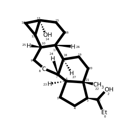 CCC(O)[C@H]1CC[C@H]2[C@@H]3CC[C@@H]4C5C[C@@]5(O)CC[C@@H]4[C@H]3CC[C@]12C